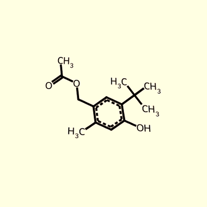 CC(=O)OCc1cc(C(C)(C)C)c(O)cc1C